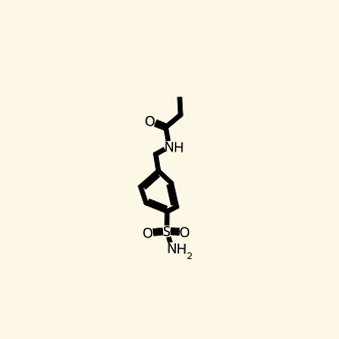 CCC(=O)NCc1ccc(S(N)(=O)=O)cc1